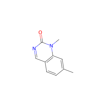 Cc1ccc2cnc(=O)n(C)c2c1